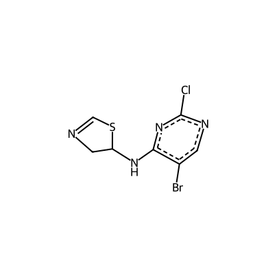 Clc1ncc(Br)c(NC2CN=CS2)n1